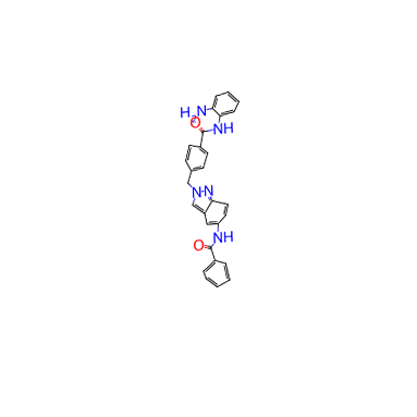 Nc1ccccc1NC(=O)c1ccc(Cn2cc3cc(NC(=O)c4ccccc4)ccc3n2)cc1